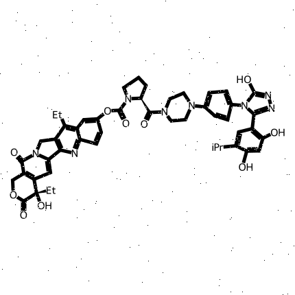 CCc1c2c(nc3ccc(OC(=O)N4CCC[C@H]4C(=O)N4CCN(c5ccc(-n6c(O)nnc6-c6cc(C(C)C)c(O)cc6O)cc5)CC4)cc13)-c1cc3c(c(=O)n1C2)COC(=O)[C@]3(O)CC